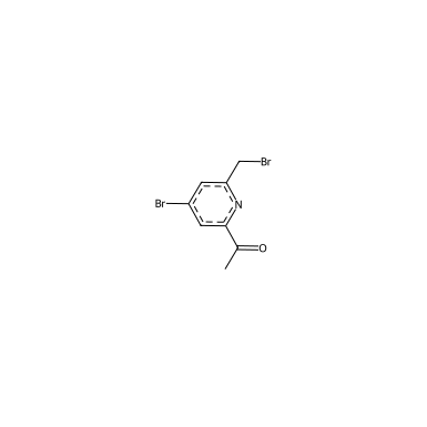 CC(=O)c1cc(Br)cc(CBr)n1